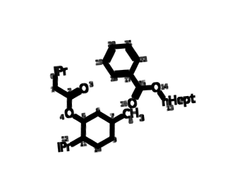 CC(C)CC(=O)OC1CC(C)CCC1C(C)C.CCCCCCCOC(=O)c1ccccc1